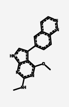 CNc1nc(OC)c2c(-c3ccc4nnccc4c3)c[nH]c2n1